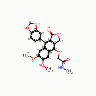 CNC(=O)COc1c2c(c(-c3ccc4c(c3)OCO4)c3cc(OC)c(OC)cc13)C(=O)OC2